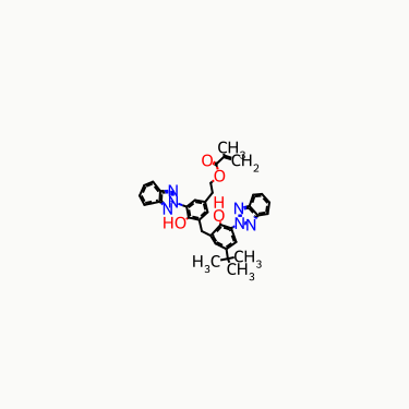 C=C(C)C(=O)OCCc1cc(Cc2cc(C(C)(C)C)cc(-n3nc4ccccc4n3)c2O)c(O)c(-n2nc3ccccc3n2)c1